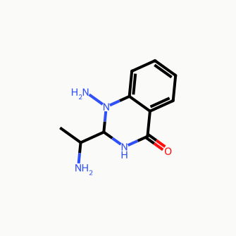 CC(N)C1NC(=O)c2ccccc2N1N